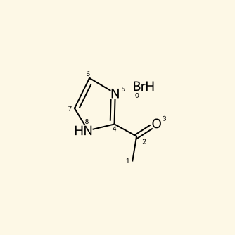 Br.CC(=O)c1ncc[nH]1